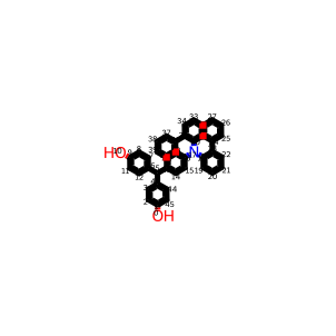 Oc1ccc(C(c2ccc(O)cc2)c2ccc(N(c3ccccc3-c3ccccc3)c3ccccc3-c3ccccc3)cc2)cc1